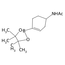 CC(=O)NC1CC=C(B2OC(C)(C)C(C)(C)O2)CC1